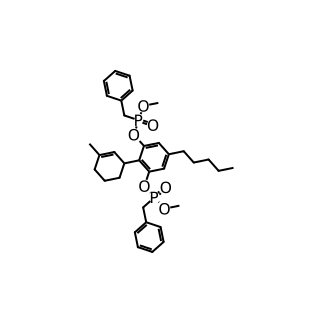 CCCCCc1cc(OP(=O)(Cc2ccccc2)OC)c(C2C=C(C)CCC2)c(OP(=O)(Cc2ccccc2)OC)c1